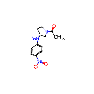 CC(=O)N1CCC(Nc2ccc([N+](=O)[O-])cc2)C1